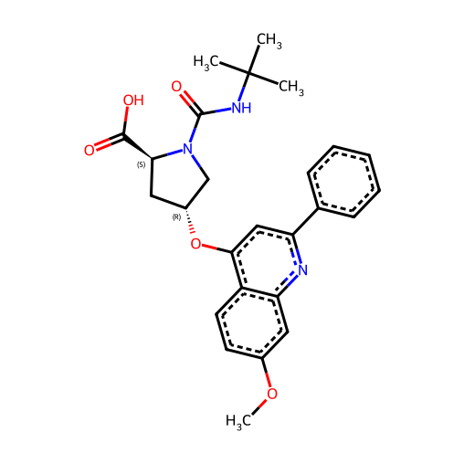 COc1ccc2c(O[C@@H]3C[C@@H](C(=O)O)N(C(=O)NC(C)(C)C)C3)cc(-c3ccccc3)nc2c1